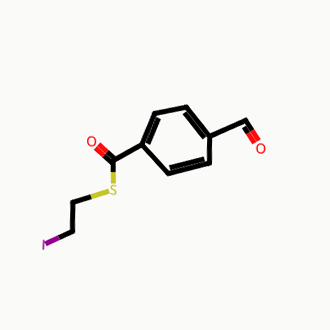 O=Cc1ccc(C(=O)SCCI)cc1